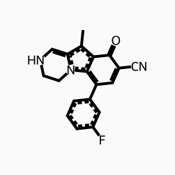 Cc1c2c(n3c1=CNCC3)=C(c1cccc(F)c1)C=C(C#N)C2=O